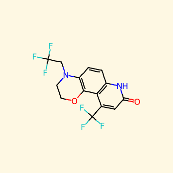 O=c1cc(C(F)(F)F)c2c3c(ccc2[nH]1)N(CC(F)(F)F)CCO3